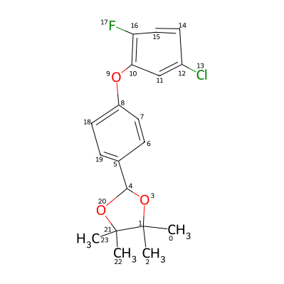 CC1(C)OC(c2ccc(Oc3cc(Cl)ccc3F)cc2)OC1(C)C